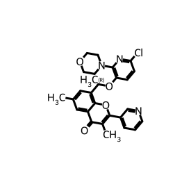 Cc1cc([C@@H](C)Oc2ccc(Cl)nc2N2CCOCC2)c2oc(-c3cccnc3)c(C)c(=O)c2c1